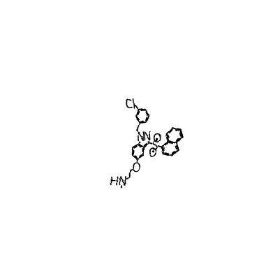 CNCCOc1ccc2c(c1)c(S(=O)(=O)c1cccc3ccccc13)nn2Cc1cccc(Cl)c1